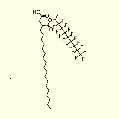 CCCCCCCCCCCCCCCCCCC(CC(=O)O)C(=O)OC(C)C(F)(F)C(F)(F)C(F)(F)C(F)(F)C(F)(F)C(F)(F)C(F)(F)C(F)(F)F